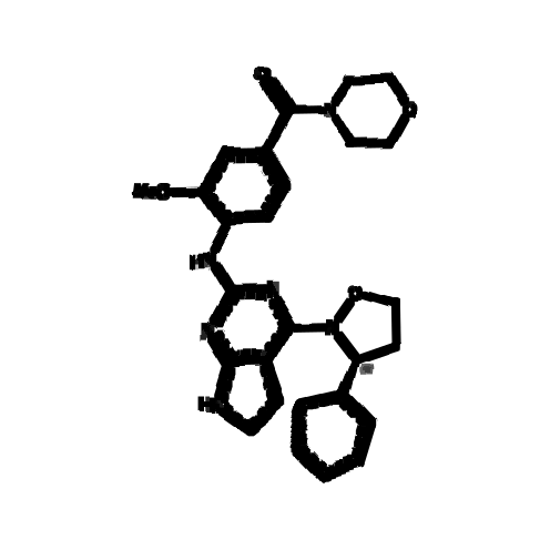 COc1cc(C(=O)N2CCOCC2)ccc1Nc1nc(N2OCC[C@H]2c2ccccc2)c2cc[nH]c2n1